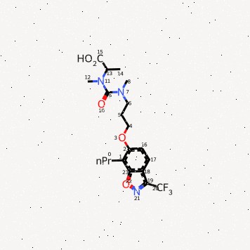 CCCc1c(OCCCN(C)C(=O)N(C)C(C)C(=O)O)ccc2c(C(F)(F)F)noc12